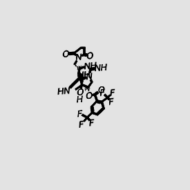 CC1[C@@H](OC(=O)c2cc(C(F)(F)F)ccc2C(F)(F)F)CN2C(=N)N[C@@H](CN3C(=O)CCC3=O)C3NC(=N)N(O)C312